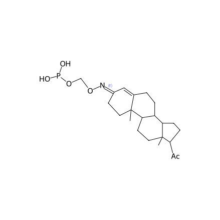 CC(=O)C1CCC2C3CCC4=C/C(=N/OCOP(O)O)CCC4(C)C3CCC12C